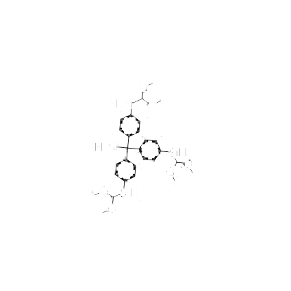 COC(OC)[SiH2]c1ccc(C([SiH3])(c2ccc([SiH2]C(OC)OC)cc2)c2ccc([SiH2]C(OC)OC)cc2)cc1